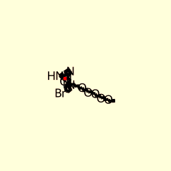 C#CCOCCOCCOCCOCCOCCCCn1c(CN2C(=O)C3(CNC3)c3ccncc32)nc2cc(Br)ccc21